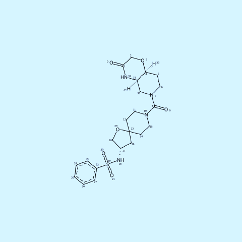 O=C1CO[C@H]2CCN(C(=O)N3CCC4(CC3)C[C@H](NS(=O)(=O)c3ccccc3)CO4)C[C@H]2N1